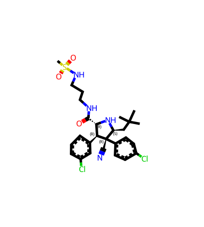 CC(C)(C)C[C@@H]1N[C@@H](C(=O)NCCCNS(C)(=O)=O)[C@H](c2cccc(Cl)c2)[C@@]1(C#N)c1ccc(Cl)cc1